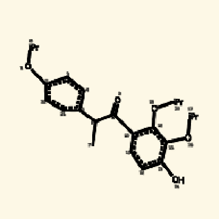 CC(C)Oc1ccc(C(C)C(=O)c2ccc(O)c(OC(C)C)c2OC(C)C)cc1